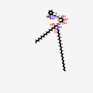 CCCCCCCCCCCCCCCCCCCCCCCCCCN[C@@H](CO[C@H]1O[C@H](COC(=S)Nc2ccccc2[N+](=O)[O-])[C@H](O)[C@H](O)[C@H]1O)[C@H](O)[C@H](O)CCCCCCCCCCCCCC